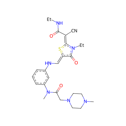 CCNC(=O)C(C#N)=c1sc(=CNc2cccc(N(C)C(=O)CN3CCN(C)CC3)c2)c(=O)n1CC